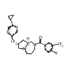 O=C(c1ccc(F)c(C(F)(F)F)c1)N1CCCN2C[C@H](Oc3cnc(C4CC4)cn3)C[C@H]2C1